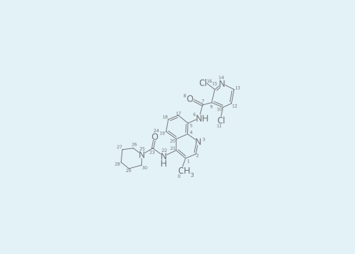 Cc1cnc2c(NC(=O)c3c(Cl)ccnc3Cl)cccc2c1NC(=O)N1CCCCC1